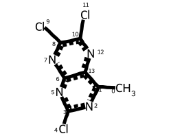 Cc1nc(Cl)nc2nc(Cl)c(Cl)nc12